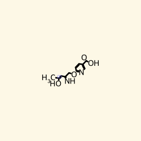 C/C(O)=C/C(=N)COc1ccc(C(=O)O)cn1